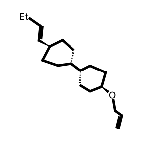 C=CCO[C@H]1CC[C@H]([C@H]2CC[C@H](/C=C/CC)CC2)CC1